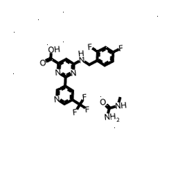 CNC(N)=O.O=C(O)c1cc(NCc2ccc(F)cc2F)nc(-c2cncc(C(F)(F)F)c2)n1